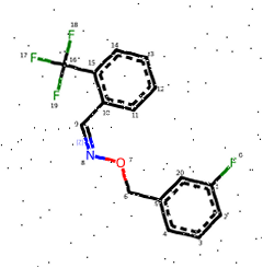 Fc1cccc(CO/N=[C]\c2ccccc2C(F)(F)F)c1